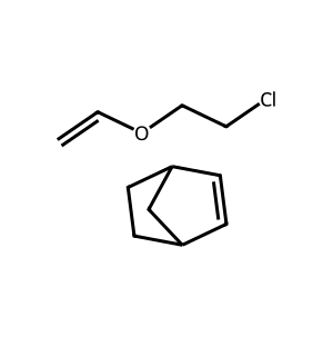 C1=CC2CCC1C2.C=COCCCl